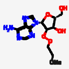 COCCOO[C@@H]1[C@H](O)[C@@H](CO)O[C@H]1n1cnc2c(N)ncnc21